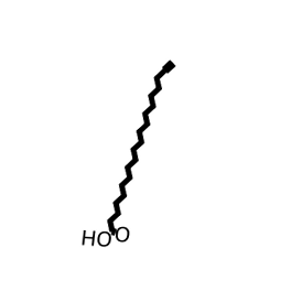 C#CCCCCCCCCCCCCCCCCCC(=O)O